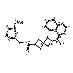 COc1cc(CNC(=O)C2CC3(C2)CN([C@H](C)c2cccc4ccccc24)C3)ccn1